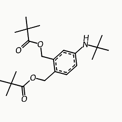 CC(C)(C)Nc1ccc(COC(=O)C(C)(C)C)c(COC(=O)C(C)(C)C)c1